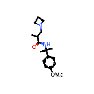 COc1ccc(C(C)(C)NC(=O)C(C)CN2CCC2)cc1